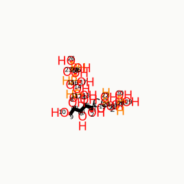 O=C(O)[C@H](O)[C@@H](O)[C@H](O)[C@H](O)CO.O=[PH](O)O.O=[PH](O)O.O=[PH](O)O.O=[PH](O)O.O=[PH](O)O